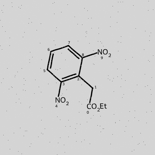 CCOC(=O)Cc1c([N+](=O)[O-])cccc1[N+](=O)[O-]